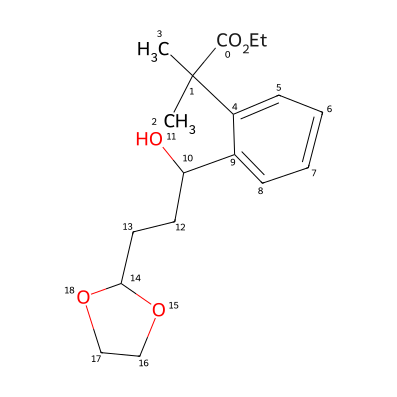 CCOC(=O)C(C)(C)c1ccccc1C(O)CCC1OCCO1